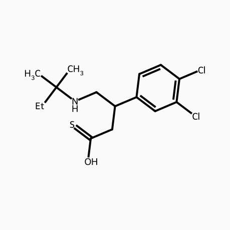 CCC(C)(C)NCC(CC(O)=S)c1ccc(Cl)c(Cl)c1